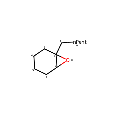 CCCCCCC12CCCCC1O2